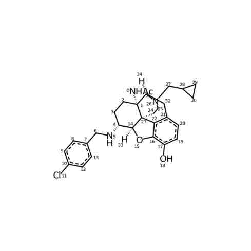 CC(=O)N[C@@]12CC[C@@H](NCc3ccc(Cl)cc3)[C@@H]3Oc4c(O)ccc5c4[C@@]31CCN(CC1CC1)[C@@H]2C5